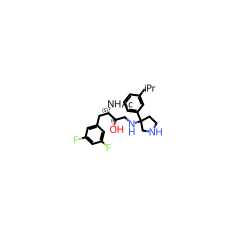 CC(=O)N[C@@H](Cc1cc(F)cc(F)c1)[C@H](O)CNC1(c2cccc(C(C)C)c2)CCNC1